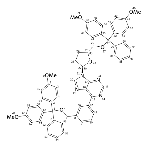 COc1ccc(C(OCc2cccc(-c3ncnc4c3ncn4[C@H]3C[CH][C@H](COC(c4ccccc4)(c4ccc(OC)cc4)c4ccc(OC)cc4)O3)c2)(c2ccccc2)c2ccc(OC)cc2)cc1